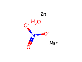 O.O=[N+]([O-])[O-].[Na+].[Zn]